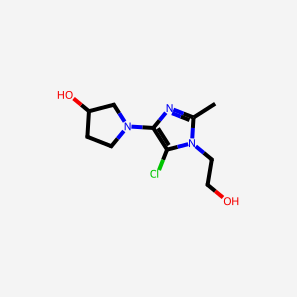 Cc1nc(N2CCC(O)C2)c(Cl)n1CCO